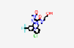 CN(CCCO)C(=O)c1c(N(C)C=O)nc(C2=CC(C(F)(F)F)CC=C2)n1Cc1ccc(Cl)cn1